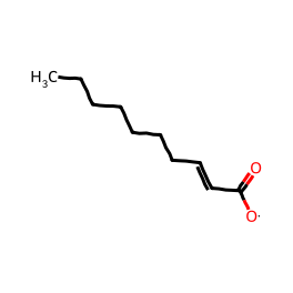 CCCCCCCC=CC([O])=O